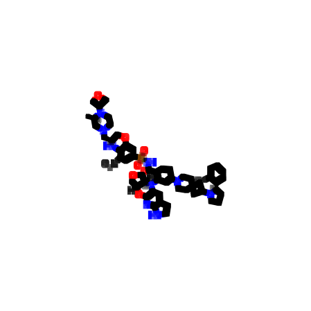 CC(C)c1ccccc1[C@@H]1CCCN1C1CC2(CCN(c3ccc(C(=O)NS(=O)(=O)c4cc5c(c([N+](=O)[O-])c4)N[C@@H](CN4CCN(C6COC6)[C@H](C)C4)CO5)c(N4c5cc6cc[nH]c6nc5O[C@@H]5COC[C@@H]54)c3)CC2)C1